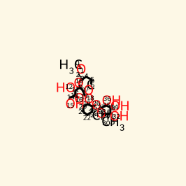 COC[C@H]1CCCOC2C(O1)[C@@H](O)C(CO)O[C@H]2O[C@@H]1CCC[C@@H](C)C1O[C@@H]1OC(C)[C@@H](O)C(O)[C@@H]1O